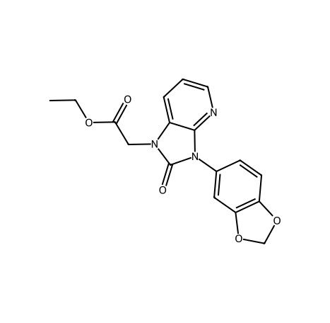 CCOC(=O)Cn1c(=O)n(-c2ccc3c(c2)OCO3)c2ncccc21